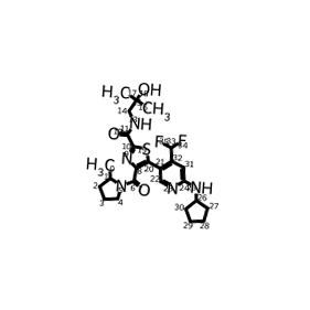 CC1CCCN1C(=O)c1nc(C(=O)NCC(C)(C)O)sc1-c1cnc(NC2CCCC2)cc1C(F)F